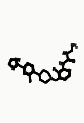 CCNC(=O)Nc1nccc(CN2CCC(c3ccc(-c4ncc[nH]4)nc3F)CC2)c1F